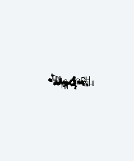 CCc1cc(-c2nnc(-c3cnc(N(CC)CC)c(C)c3)o2)cc(C)c1OC[C@@H](O)CNC